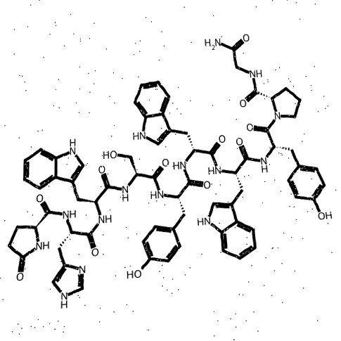 NC(=O)CNC(=O)[C@@H]1CCCN1C(=O)[C@H](Cc1ccc(O)cc1)NC(=O)[C@H](Cc1c[nH]c2ccccc12)NC(=O)[C@@H](Cc1c[nH]c2ccccc12)NC(=O)[C@H](Cc1ccc(O)cc1)NC(=O)[C@H](CO)NC(=O)[C@H](Cc1c[nH]c2ccccc12)NC(=O)[C@H](Cc1c[nH]cn1)NC(=O)[C@@H]1CCC(=O)N1